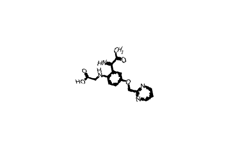 CC(=O)C(=N)c1cc(OCc2ncccn2)ccc1NCC(=O)O